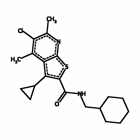 Cc1nc2sc(C(=O)NCC3CCCCC3)c(C3CC3)c2c(C)c1Cl